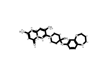 BC1(Oc2ccc3c(c2)OCCCO3)CCN(c2nn3c(=O)cc(C)nc3cc2C)CC1